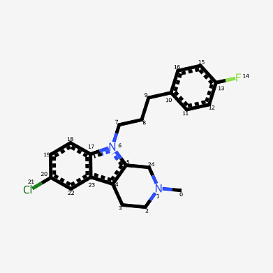 CN1CCc2c(n(CCCc3ccc(F)cc3)c3ccc(Cl)cc23)C1